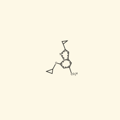 O=C(O)c1cc(OC2CC2)n2nc(C3CC3)cc2c1